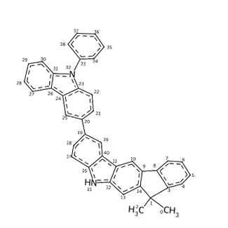 CC1(C)c2ccccc2-c2cc3c(cc21)[nH]c1ccc(-c2ccc4c(c2)c2ccccc2n4-c2ccccc2)cc13